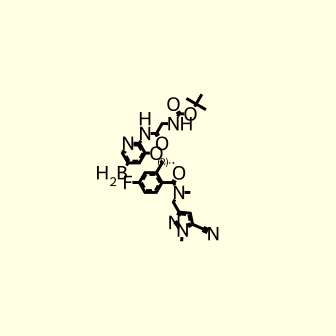 Bc1cnc(NC(=O)CNC(=O)OC(C)(C)C)c(O[C@H](C)c2cc(F)ccc2C(=O)N(C)Cc2cc(C#N)n(C)n2)c1